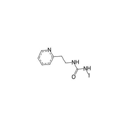 O=C(NI)NCCc1ccccn1